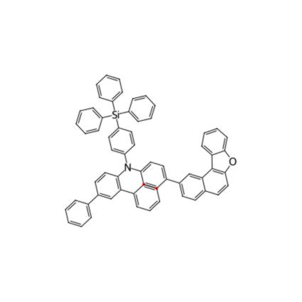 c1ccc(-c2ccc(N(c3ccc(-c4ccc5ccc6oc7ccccc7c6c5c4)cc3)c3ccc([Si](c4ccccc4)(c4ccccc4)c4ccccc4)cc3)c(-c3ccccc3)c2)cc1